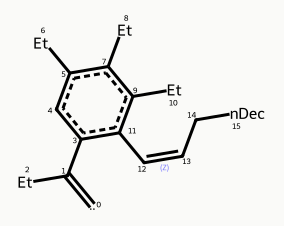 [C]=C(CC)c1cc(CC)c(CC)c(CC)c1/C=C\CCCCCCCCCCC